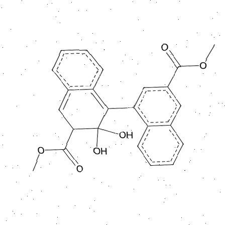 COC(=O)c1cc(C2=c3ccccc3=CC(C(=O)OC)C2(O)O)c2ccccc2c1